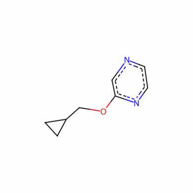 c1cnc(OCC2CC2)cn1